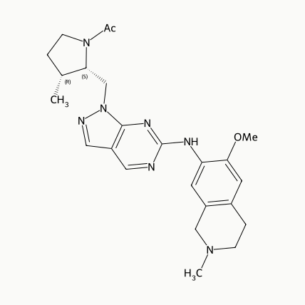 COc1cc2c(cc1Nc1ncc3cnn(C[C@@H]4[C@H](C)CCN4C(C)=O)c3n1)CN(C)CC2